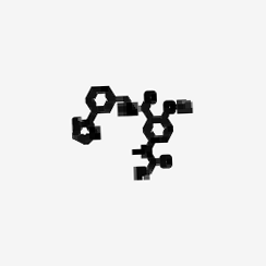 CCOc1ccc(N(C)C(=O)C(C)C)cc1C(=O)NCc1cccc(-c2nccs2)c1